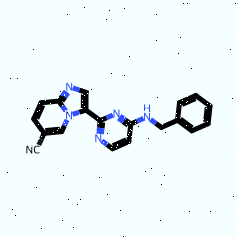 N#Cc1ccc2ncc(-c3nccc(NCc4ccccc4)n3)n2c1